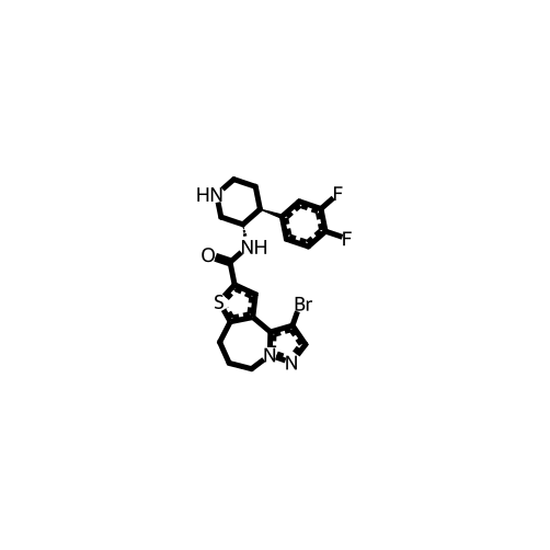 O=C(N[C@@H]1CNCC[C@H]1c1ccc(F)c(F)c1)c1cc2c(s1)CCCn1ncc(Br)c1-2